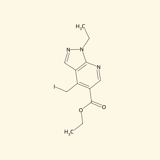 CCOC(=O)c1cnc2c(cnn2CC)c1CI